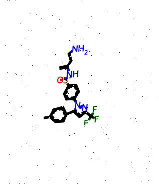 C=C(CCN)N[S+]([O-])c1ccc(-n2nc(C(F)(F)F)cc2-c2ccc(C)cc2)cc1